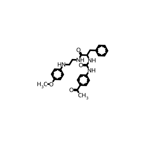 COc1ccc(NCCNC(=O)C(Cc2ccccc2)NC(=O)Nc2ccc(C(C)=O)cc2)cc1